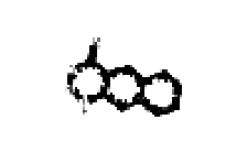 O=c1nn[nH]c2cc3ccccc3cc12